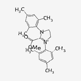 COC(=O)C1=[N+](c2c(C)cc(C)cc2C)CCN1c1c(C)cc(C)cc1C